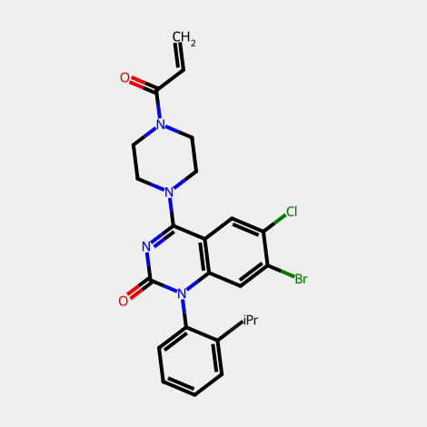 C=CC(=O)N1CCN(c2nc(=O)n(-c3ccccc3C(C)C)c3cc(Br)c(Cl)cc23)CC1